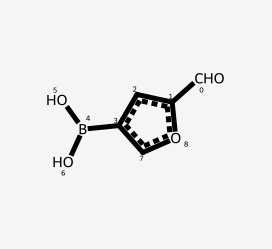 O=Cc1cc(B(O)O)co1